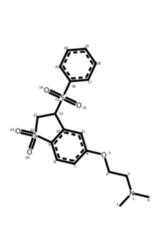 CN(C)CCOc1ccc2c(c1)C(S(=O)(=O)c1ccccc1)CS2(=O)=O